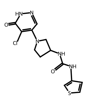 O=C(Nc1ccsc1)NC1CCN(c2cn[nH]c(=O)c2Cl)C1